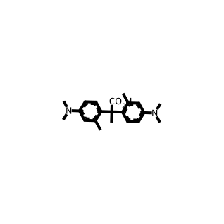 Cc1cc(N(C)C)ccc1C(C)(C(=O)O)c1ccc(N(C)C)cc1C